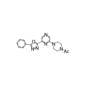 CC(=O)N1CCN(c2cncc(-c3nnc(-c4ccccc4)o3)n2)CC1